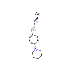 CC(=O)/C=C/C=C/c1ccc(N2CCCCC2)cc1